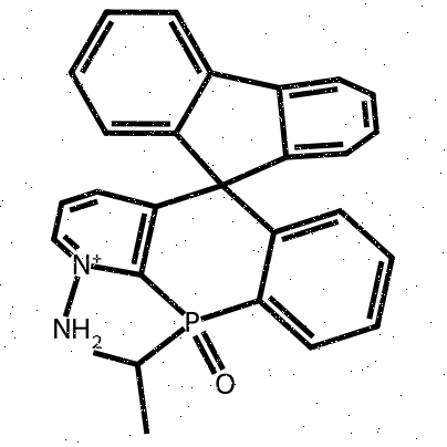 CC(C)P1(=O)c2ccccc2C2(c3ccccc3-c3ccccc32)c2ccc[n+](N)c21